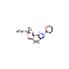 CCCCCC1(CC)C=C(c2nn(C3CCCCO3)cc2C=O)CCO1